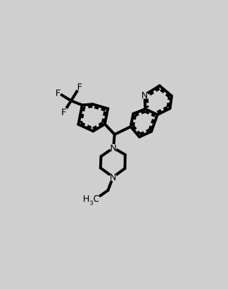 CCN1CCN(C(c2ccc(C(F)(F)F)cc2)c2ccc3cccnc3c2)CC1